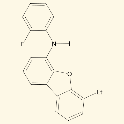 CCc1cccc2c1oc1c(N(I)c3ccccc3F)cccc12